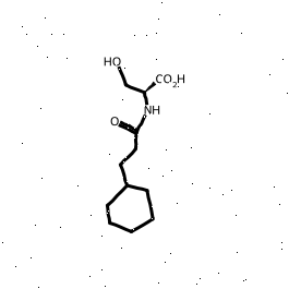 O=C(CCC1CCCCC1)N[C@@H](CO)C(=O)O